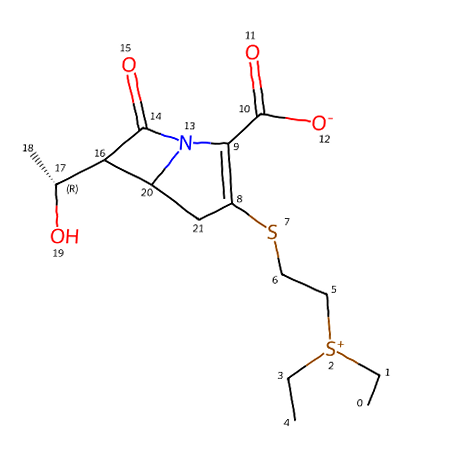 CC[S+](CC)CCSC1=C(C(=O)[O-])N2C(=O)C([C@@H](C)O)C2C1